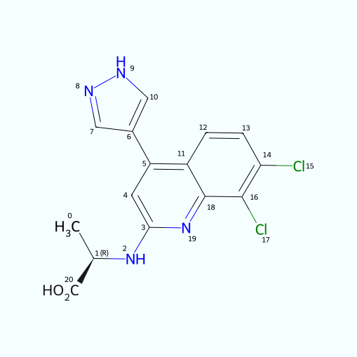 C[C@@H](Nc1cc(-c2cn[nH]c2)c2ccc(Cl)c(Cl)c2n1)C(=O)O